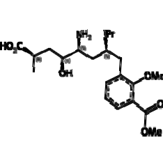 COC(=O)c1cccc(C[C@@H](C[C@H](N)[C@@H](O)C[C@@H](C)C(=O)O)C(C)C)c1OC